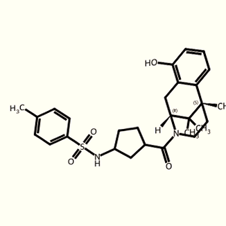 Cc1ccc(S(=O)(=O)NC2CCC(C(=O)N3CC[C@@]4(C)c5cccc(O)c5C[C@@H]3C4(C)C)C2)cc1